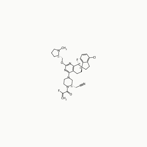 C=C(F)C(=O)N1CCN(c2nc(OC[C@@H]3CCCN3C)nc3c2CC[C@@]2(CCc4c(Cl)cccc42)[C@H]3F)C[C@@H]1CC#N